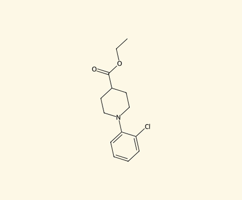 CCOC(=O)C1CCN(c2ccccc2Cl)CC1